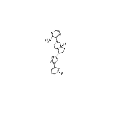 Nc1nccnc1N1CCN2[C@@H](CC[C@@H]2c2cn(-c3cccc(F)c3)nn2)C1